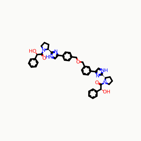 O=C([C@H](O)c1ccccc1)N1CCC[C@H]1c1nc(-c2ccc(COCc3cccc(-c4c[nH]c([C@@H]5CCCN5C(=O)[C@H](O)c5ccccc5)n4)c3)cc2)c[nH]1